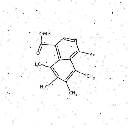 COC(=O)c1cnc(C(C)=O)c2c(C)c(C)c(C)c(C)c12